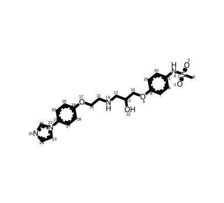 CS(=O)(=O)Nc1ccc(OCC(O)CNCCOc2ccc(-n3ccnc3)cc2)cc1